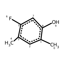 Cc1cc(C)c(F)cc1O